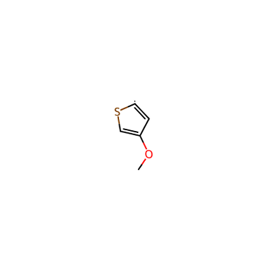 COc1c[c]sc1